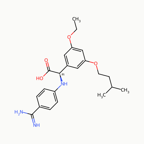 CCOc1cc(OCCC(C)C)cc([C@@H](Nc2ccc(C(=N)N)cc2)C(=O)O)c1